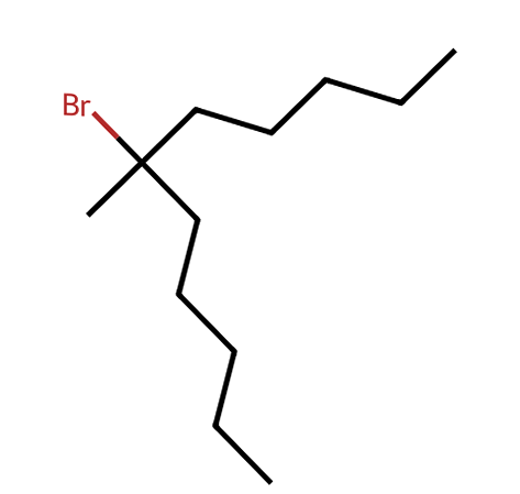 CCCCCC(C)(Br)CCCCC